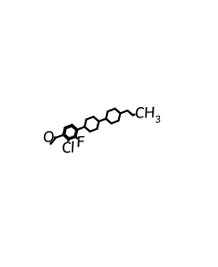 CCCC1CCC(C2CCC(c3ccc(C4CO4)c(Cl)c3F)CC2)CC1